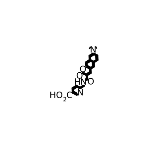 CN(C)c1ccc2cc3cc(C(=O)NCc4ccc(C(=O)O)cn4)c(=O)oc3cc2c1